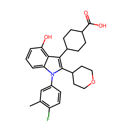 Cc1cc(-n2c(C3CCOCC3)c(C3CCC(C(=O)O)CC3)c3c(O)cccc32)ccc1F